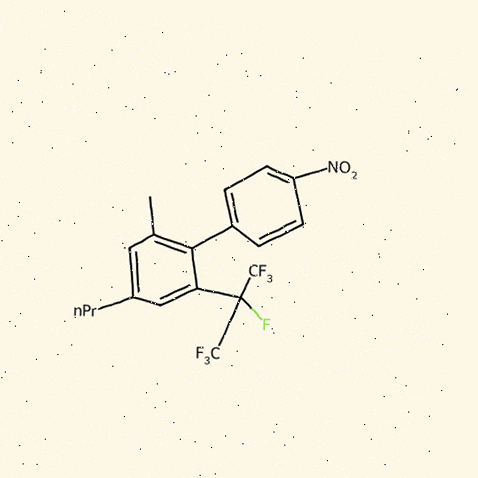 CCCc1[c]c(C)c(-c2ccc([N+](=O)[O-])cc2)c(C(F)(C(F)(F)F)C(F)(F)F)c1